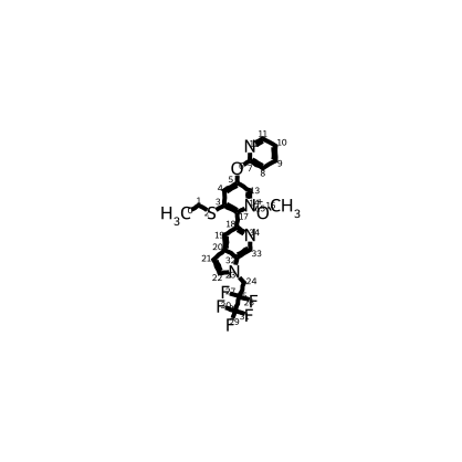 CCSc1cc(Oc2ccccn2)c[n+](OC)c1-c1cc2ccn(CC(F)(F)C(F)(F)F)c2cn1